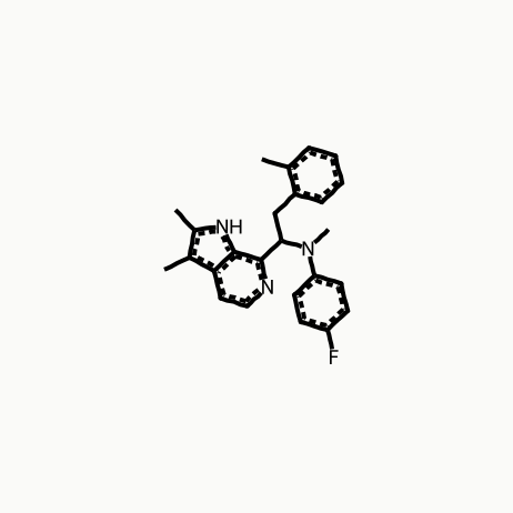 Cc1ccccc1CC(c1nccc2c(C)c(C)[nH]c12)N(C)c1ccc(F)cc1